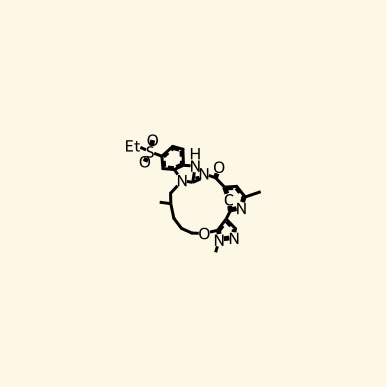 CCS(=O)(=O)c1ccc2c(c1)N1CC(C)CCCOc3c(cnn3C)-c3cc(cc(C)n3)C(=O)/N=C/1N2